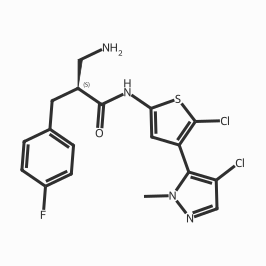 Cn1ncc(Cl)c1-c1cc(NC(=O)[C@H](CN)Cc2ccc(F)cc2)sc1Cl